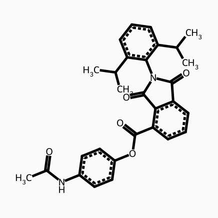 CC(=O)Nc1ccc(OC(=O)c2cccc3c2C(=O)N(c2c(C(C)C)cccc2C(C)C)C3=O)cc1